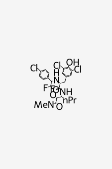 CCC[C@H](NC(=O)[C@H](Cc1cc(Cl)c(O)c(Cl)c1)N[C@@H](c1ccc(Cl)cc1)C(F)F)C(=O)C(=O)NC